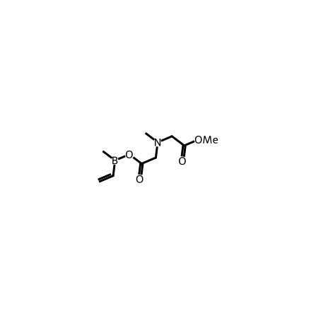 C=CB(C)OC(=O)CN(C)CC(=O)OC